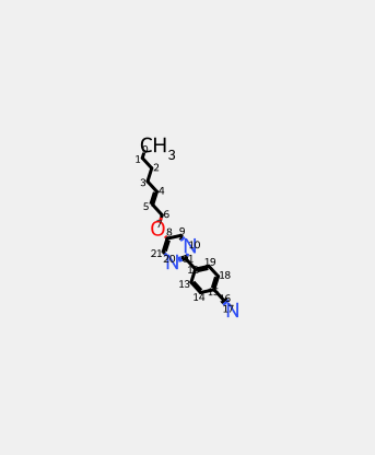 CCCC/C=C/COc1cnc(-c2ccc(C#N)cc2)nc1